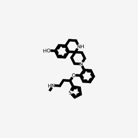 CNCCC(Oc1ccccc1N1CCC2(CC1)NCCc1cc(O)ccc12)c1cccs1